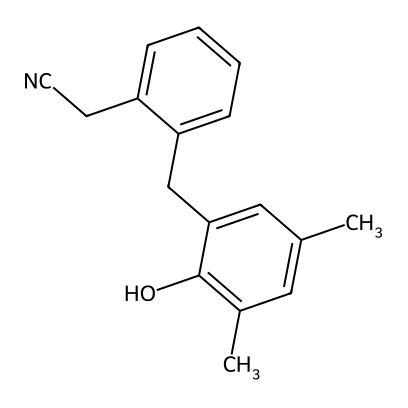 Cc1cc(C)c(O)c(Cc2ccccc2CC#N)c1